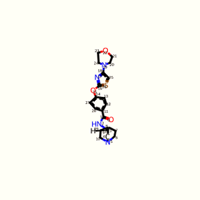 O=C(N[C@H]1CN2CCC1CC2)c1ccc(Oc2nc(N3CCOCC3)cs2)cc1